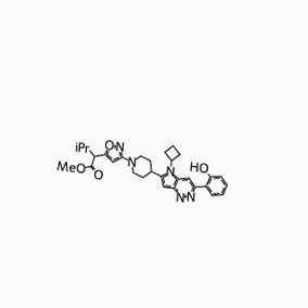 COC(=O)C(c1cc(N2CCC(c3cc4nnc(-c5ccccc5O)cc4n3C3CCC3)CC2)no1)C(C)C